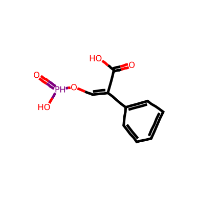 O=C(O)/C(=C\O[PH](=O)O)c1ccccc1